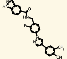 N#Cc1ccc(-c2cnn(-c3ccc(CNC(=O)c4ccc5[nH]ncc5c4)c(F)c3)c2)cc1C(F)(F)F